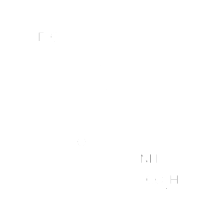 O=C(O)NC1CCOc2cc(-c3cccc(C(F)(F)F)c3)ccc21